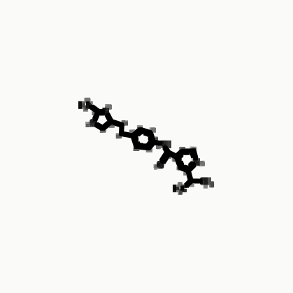 CC(C)c1cc(C(=O)Nc2ccc(CCC3COC(N)=N3)cc2)ccn1